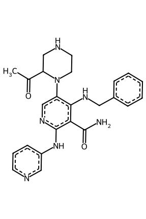 CC(=O)C1CNCCN1c1cnc(Nc2cccnc2)c(C(N)=O)c1NCc1ccccc1